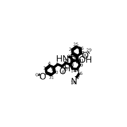 COc1ccc(CC(=O)C2NC[C@@H]3[C@H]2C[C@@H](CC#N)C[C@@]3(O)c2ccccc2OC)cc1